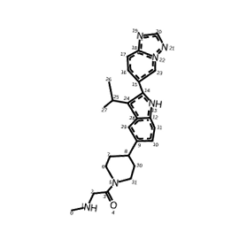 CNCC(=O)N1CCC(c2ccc3[nH]c(-c4ccc5ncnn5c4)c(C(C)C)c3c2)CC1